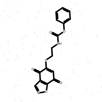 O=C(NCCSC1=CC(=O)c2oncc2C1=O)Oc1ccccc1